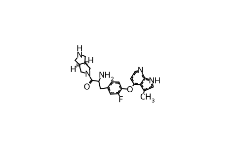 Cc1c[nH]c2nccc(Oc3ccc(CC(N)C(=O)N4C[C@H]5CNC[C@H]5C4)cc3F)c12